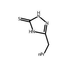 CCCCc1n[nH]c(=S)[nH]1